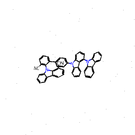 N#Cc1cccc(-c2ccc(-n3c4ccccc4c4c(-n5c6ccccc6c6ccccc65)cccc43)cc2)c1-n1c2ccccc2c2cccc(C#N)c21